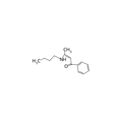 CCCCNC(C)=CC(=O)c1ccccc1